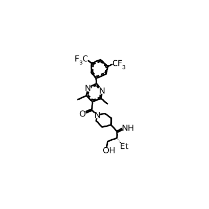 CC[C@H](CO)C(=N)C1CCN(C(=O)c2c(C)nc(-c3cc(C(F)(F)F)cc(C(F)(F)F)c3)nc2C)CC1